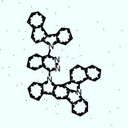 c1ccc2c(c1)ccc1c2c2ccccc2n1-c1nnc(-n2c3ccccc3c3cc4c5ccccc5n5c6c7ccccc7ccc6c(c32)c45)c2ccccc12